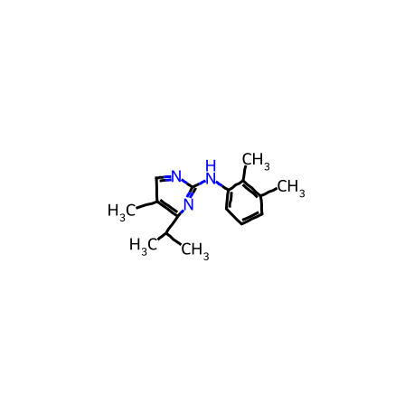 Cc1cnc(Nc2cccc(C)c2C)nc1C(C)C